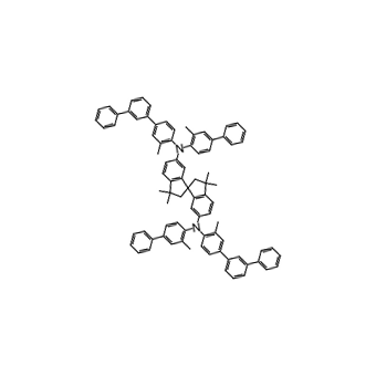 Cc1cc(-c2ccccc2)ccc1N(c1ccc2c(c1)C1(CC2(C)C)CC(C)(C)c2ccc(N(c3ccc(-c4ccccc4)cc3C)c3ccc(-c4cccc(-c5ccccc5)c4)cc3C)cc21)c1ccc(-c2cccc(-c3ccccc3)c2)cc1C